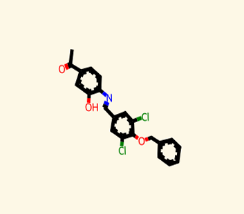 CC(=O)c1ccc(/N=C/c2cc(Cl)c(OCc3ccccc3)c(Cl)c2)c(O)c1